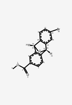 COC(=O)c1ccc2c(c1)[C@H]1O[C@@H]2c2cc(Br)ccc21